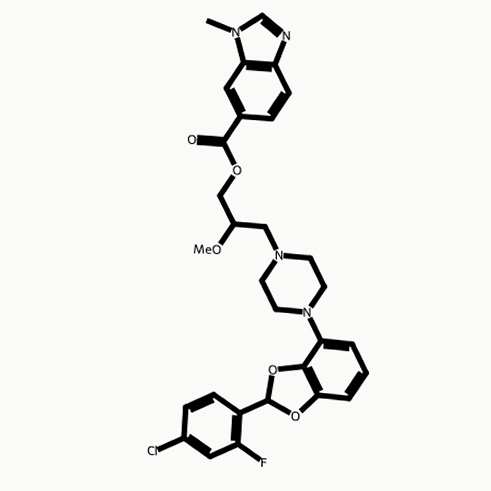 COC(COC(=O)c1ccc2ncn(C)c2c1)CN1CCN(c2cccc3c2OC(c2ccc(Cl)cc2F)O3)CC1